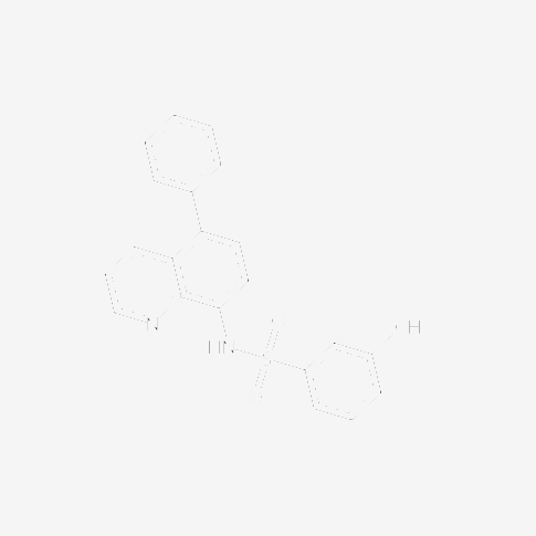 Cc1cccc(S(=O)(=O)Nc2ccc(-c3ccccc3)c3cccnc23)c1